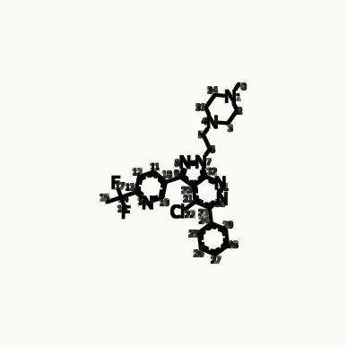 CN1CCN(CCn2nc(-c3ccc(C(C)(F)F)nc3)c3c(Cl)c(-c4ccccc4)nnc32)CC1